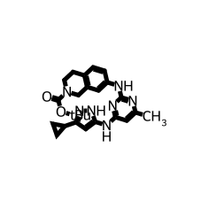 Cc1cc(Nc2cc(C3CC3)n[nH]2)nc(Nc2ccc3c(c2)CN(C(=O)OC(C)(C)C)CC3)n1